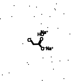 O=C([O-])CCl.[Na+].[Na+].[OH-]